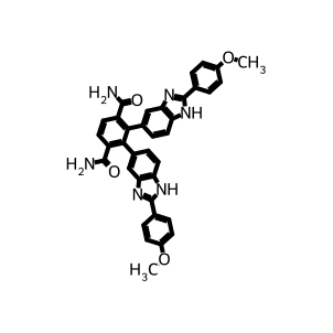 COc1ccc(-c2nc3cc(-c4c(C(N)=O)ccc(C(N)=O)c4-c4ccc5[nH]c(-c6ccc(OC)cc6)nc5c4)ccc3[nH]2)cc1